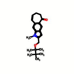 Cn1c(CO[Si](C)(C)C(C)(C)C)cc2cc3c(cc21)C=CCCC3=O